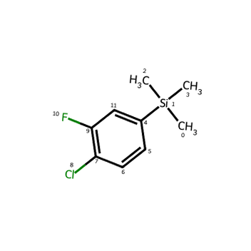 C[Si](C)(C)c1ccc(Cl)c(F)c1